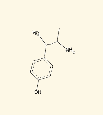 CC(N)C(O)c1ccc(O)cc1